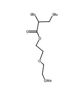 COCCOCCOC(=O)C(CC(C)(C)C)C(C)(C)C